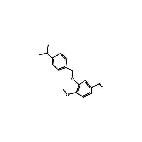 CCc1ccc(OC)c(OCc2ccc(C(C)C)cc2)c1